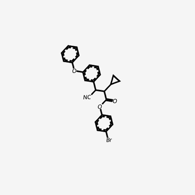 N#CC(c1cccc(Oc2ccccc2)c1)C(C(=O)Oc1ccc(Br)cc1)C1CC1